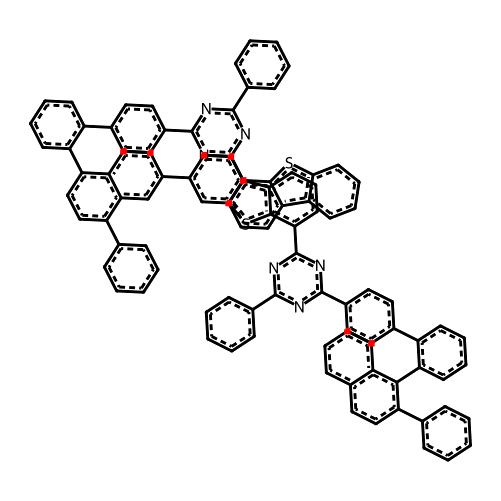 c1ccc(-c2nc(-c3ccc(-c4ccccc4-c4ccc(-c5ccccc5)c5cc(-c6ccc7c(c6)sc6c(-c8nc(-c9ccccc9)nc(-c9ccc(-c%10ccccc%10-c%10c(-c%11ccccc%11)ccc%11ccccc%10%11)cc9)n8)cccc67)ccc45)cc3)nc(-c3cccc4c3sc3ccccc34)n2)cc1